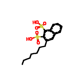 CCCCCCCc1cc2ccccc2c(S(=O)(=O)O)c1S(=O)(=O)O